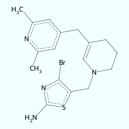 Cc1cc(CC2=CN(Cc3sc(N)nc3Br)CCC2)cc(C)n1